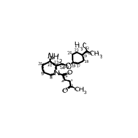 CC(=O)CCC(=O)N1CCCC(N)C1COC1CCC(C(C)C)CC1